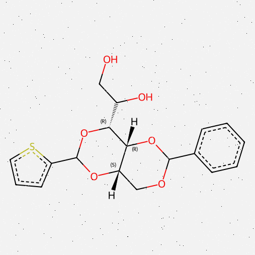 OCC(O)[C@H]1OC(c2cccs2)O[C@H]2COC(c3ccccc3)O[C@H]21